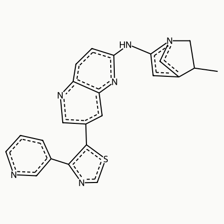 CC1Cn2cc1cc2Nc1ccc2ncc(-c3scnc3-c3cccnc3)cc2n1